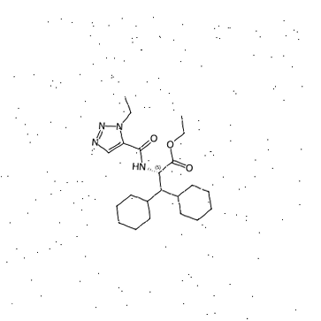 CCOC(=O)[C@@H](NC(=O)c1cnnn1CC)C(C1CCCCC1)C1CCCCC1